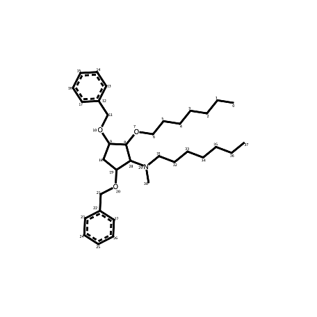 CCCCCCCOC1C(OCc2ccccc2)CC(OCc2ccccc2)C1N(C)CCCCCCC